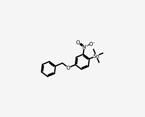 [CH3][Sn]([CH3])([CH3])[c]1ccc(OCc2ccccc2)cc1[N+](=O)[O-]